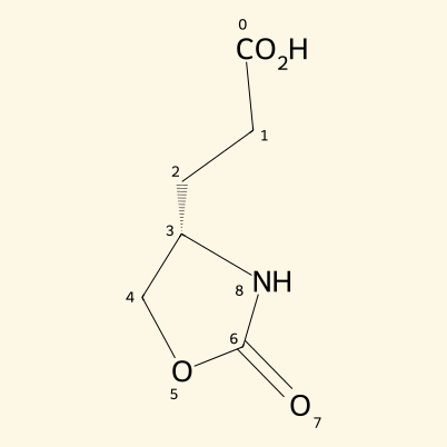 O=C(O)CC[C@H]1COC(=O)N1